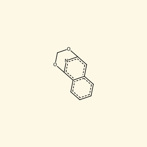 c1ccc2c3nc(cc2c1)OCO3